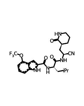 CC(C)C[C@H](NC(=O)c1cc2c(OC(F)(F)F)cccc2[nH]1)C(=O)N[C@H](C#N)C[C@@H]1CCCNC1=O